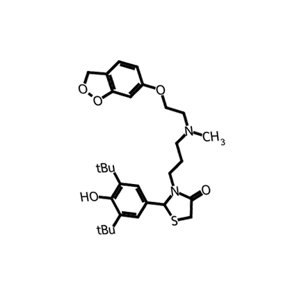 CN(CCCN1C(=O)CSC1c1cc(C(C)(C)C)c(O)c(C(C)(C)C)c1)CCOc1ccc2c(c1)OOC2